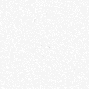 CC(C)C(=O)NC1CCC(Nc2nc(Nc3ccc(N4CCN(C)CC4)cc3)nc3[nH]cc(C(=O)c4ccc(F)cc4)c23)CC1